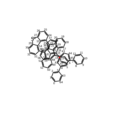 c1ccc(-c2cc(-c3ccccc3)cc(-c3c4ccccc4c(-c4cccc5sc6cccc(-c7c8ccccc8c(-c8ccccc8)c8ccccc78)c6c45)c4ccccc34)c2)cc1